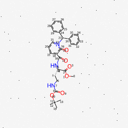 COC(=O)[C@H](CCNC(=O)OC(C)(C)C)NC(=O)c1cccn(C(c2ccccc2)c2ccccc2)c1=O